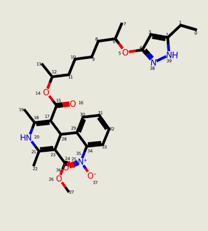 CCc1cc(OC(C)CCCCC(C)OC(=O)C2=C(C)NC(C)=C(C(=O)OC)C2c2ccccc2[N+](=O)[O-])n[nH]1